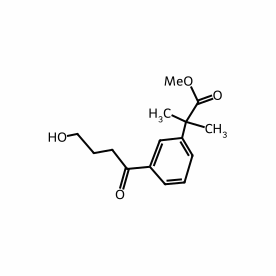 COC(=O)C(C)(C)c1cccc(C(=O)CCCO)c1